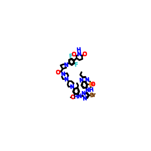 CCc1cnc2c(P(C)(C)=O)c(Nc3nc(Nc4cc(CC)c(N5CCC(N6CCN(C(=O)C7CCN(c8cc(F)c(C9CCC(=O)NC9=O)c(F)c8)C7)CC6)CC5)cc4OC)ncc3Br)ccc2n1